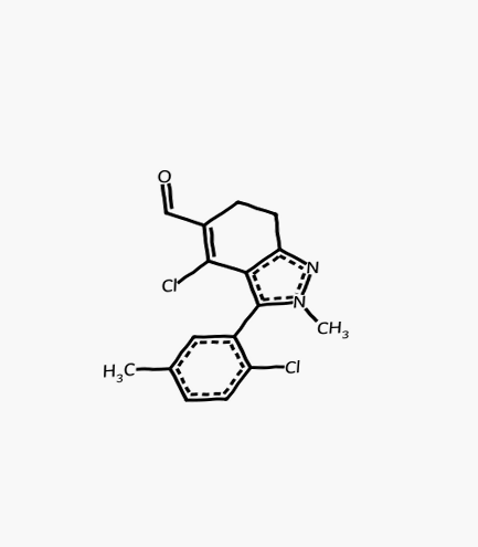 Cc1ccc(Cl)c(-c2c3c(nn2C)CCC(C=O)=C3Cl)c1